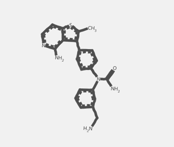 Cc1sc2ccnc(N)c2c1-c1ccc(N(C(N)=O)c2cccc(CN)c2)cc1